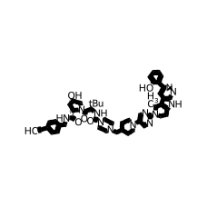 C#Cc1ccc(CNC(=O)[C@@H]2C[C@@H](O)CN2C(=O)[C@@H](NC(=O)N2CCN(CC3CCN(c4cnc(N5CCc6[nH]c7nnc(-c8ccccc8O)cc7c6[C@H]5C)nc4)CC3)CC2)C(C)(C)C)cc1